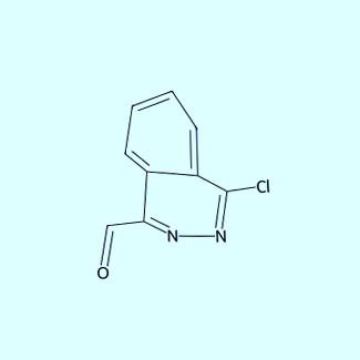 O=Cc1nnc(Cl)c2ccccc12